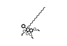 C=CCOc1cc(OCC=C)c2c(=O)c(OCC=C)c(-c3ccccc3)n(CCCCCCCCCCCCCCCC)c2c1